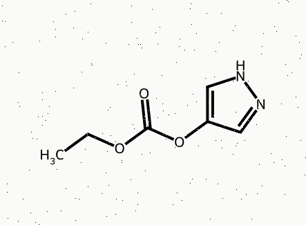 CCOC(=O)Oc1cn[nH]c1